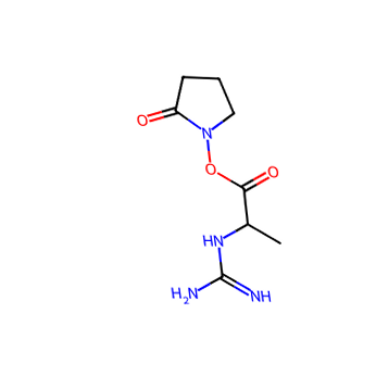 CC(NC(=N)N)C(=O)ON1CCCC1=O